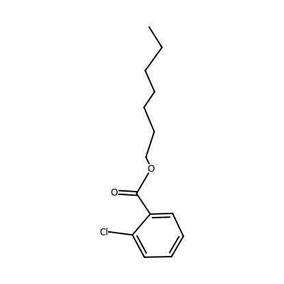 CCCCCCCOC(=O)c1ccccc1Cl